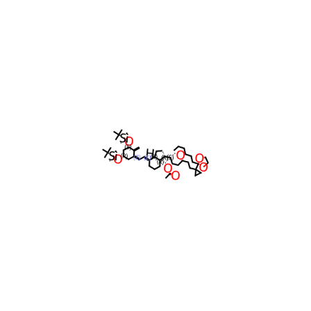 C=C1/C(=C\C=C2/CCC[C@]3(C)[C@@H]([C@H](C)C(CC(=O)CCC4(C5(CCCCCC)OCCO5)CC4)OC(C)=O)CC[C@@H]23)C[C@@H](O[Si](C)(C)C(C)(C)C)C[C@@H]1O[Si](C)(C)C(C)(C)C